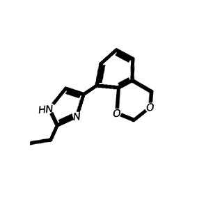 CCc1nc(-c2cccc3c2OCOC3)c[nH]1